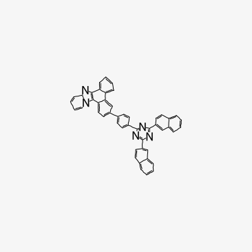 c1ccc2cc(-c3nc(-c4ccc(-c5ccc6c(c5)c5ccccc5c5nc7ccccn7c65)cc4)nc(-c4ccc5ccccc5c4)n3)ccc2c1